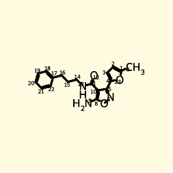 Cc1ccc(-c2noc(N)c2C(=O)NCCCc2ccccc2)o1